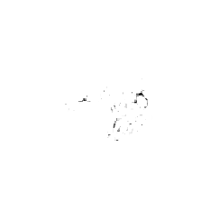 CC(=O)CC1CC(O)C(CO)OC1OP(=O)(ON)OP(=O)(ON)OCC1OC(n2ccc(=O)[nH]c2=O)C(O)C1O